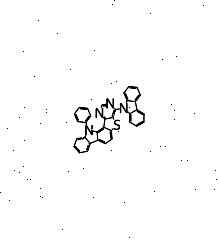 c1ccc(-n2c3ccccc3c3ccc4sc5c(-n6c7ccccc7c7ccccc76)ncnc5c4c32)cc1